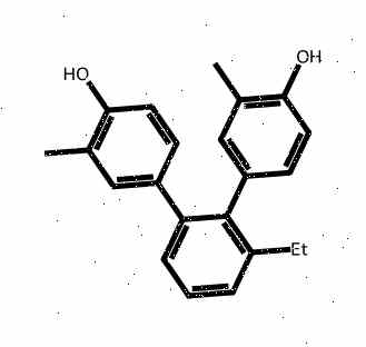 CCc1cccc(-c2ccc(O)c(C)c2)c1-c1ccc(O)c(C)c1